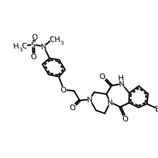 CN(c1ccc(OCC(=O)N2CCN3C(=O)c4cc(Br)ccc4NC(=O)C3C2)cc1)S(C)(=O)=O